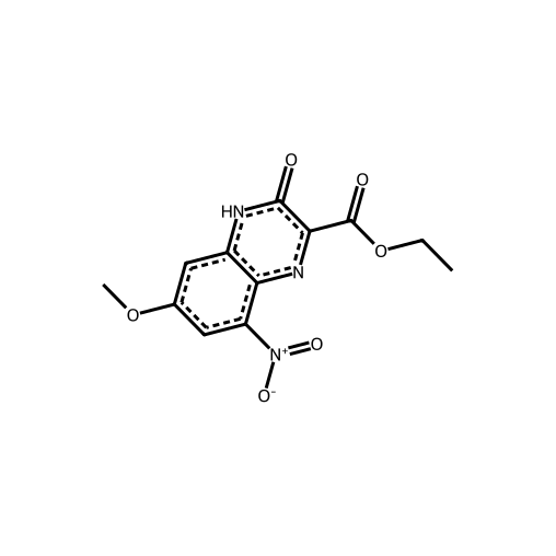 CCOC(=O)c1nc2c([N+](=O)[O-])cc(OC)cc2[nH]c1=O